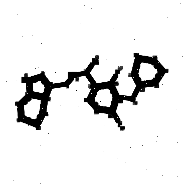 CCC(NCc1c[nH]c2ccccc12)c1ccc(F)c(Oc2ccccc2)c1F